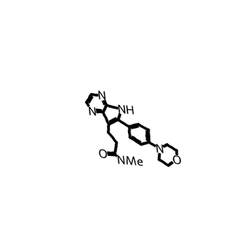 CNC(=O)CCc1c(-c2ccc(N3CCOCC3)cc2)[nH]c2nccnc12